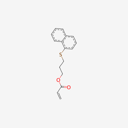 C=CC(=O)OCCCSc1cccc2ccccc12